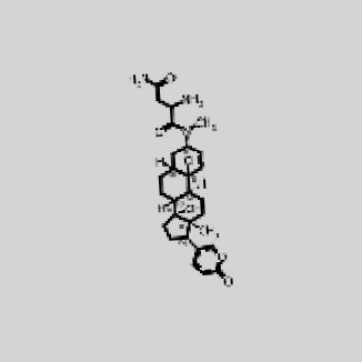 CN(C(=O)C(N)CC(N)=O)[C@H]1CC[C@@]2(C)[C@H](CC[C@@H]3[C@@H]2CC[C@]2(C)[C@@H](c4ccc(=O)oc4)CC[C@]32O)C1